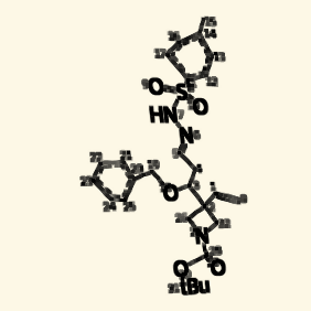 C=CC1(C(C/C=N/NS(=O)(=O)c2ccc(C)cc2)OCc2ccccc2)CN(C(=O)OC(C)(C)C)C1